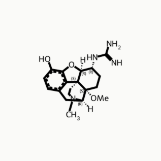 CO[C@@]12CC[C@@H](NC(=N)N)[C@@H]3Oc4c(O)ccc5c4[C@@]31CCN(C)[C@@H]2C5